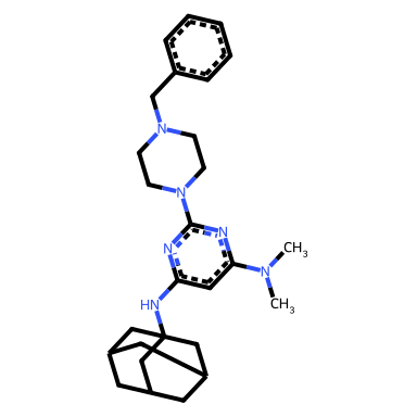 CN(C)c1cc(NC23CC4CC(CC(C4)C2)C3)nc(N2CCN(Cc3ccccc3)CC2)n1